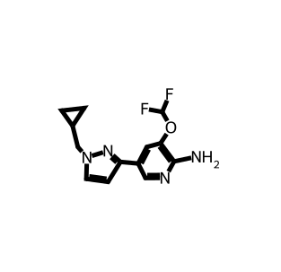 Nc1ncc(-c2ccn(CC3CC3)n2)cc1OC(F)F